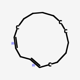 C1=C\CCCCCCCCCCC/C=C/C/1